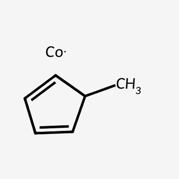 CC1C=CC=C1.[Co]